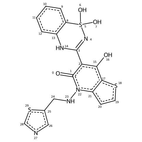 O=c1c(C2=NS(O)(O)c3ccccc3N2)c(O)c2sccc2n1NCc1cncs1